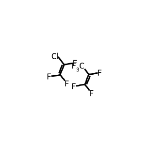 FC(F)=C(F)C(F)(F)F.FC(F)=C(F)Cl